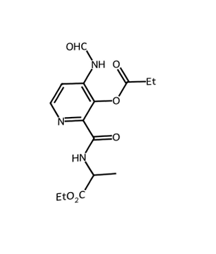 CCOC(=O)C(C)NC(=O)c1nccc(NC=O)c1OC(=O)CC